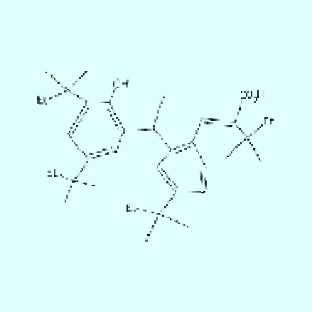 CCC(C)(C)C(=Cc1ccc(C(C)(C)CC)cc1C(C)c1cc(C(C)(C)CC)cc(C(C)(C)CC)c1O)C(=O)O